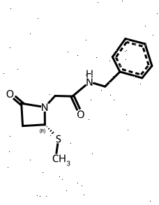 CS[C@@H]1CC(=O)N1CC(=O)NCc1ccccc1